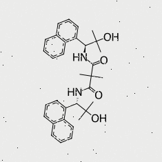 CC(C)(C(=O)N[C@@H](c1cccc2ccccc12)C(C)(C)O)C(=O)N[C@@H](c1cccc2ccccc12)C(C)(C)O